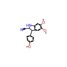 COc1ccc(C2c3cc(OC)c(OC)cc3NC2C#N)cc1